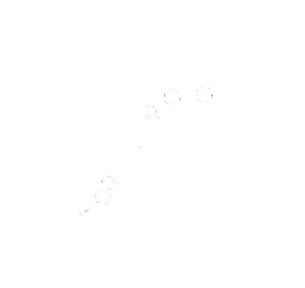 CCCCc1sc(C2CCN(CCCCc3cc4cc(C#N)ccc4n3C)CC2)nc1-c1ccc(Oc2ccc(Cl)cc2)cc1